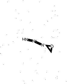 C1CO1.[N-]=[N+]=N